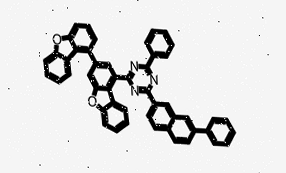 c1ccc(-c2ccc3ccc(-c4nc(-c5ccccc5)nc(-c5cc(-c6cccc7oc8ccccc8c67)cc6oc7ccccc7c56)n4)cc3c2)cc1